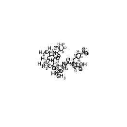 CCCN(C(=O)[C@@H](NC(=O)[C@H]1CCCCN1C)[C@@H](C)CC)[C@H](C[C@@H](OC(=O)NC)c1nc(C(=O)N[C@@H](Cc2ccc([N+](=O)[O-])cc2)CC2(C(=O)O)CC2)cs1)C(C)C